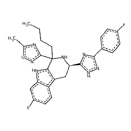 CCCCC1(c2noc(C)n2)N[C@@H](c2nc(-c3ccc(F)cc3)n[nH]2)Cc2c1[nH]c1cc(F)ccc21